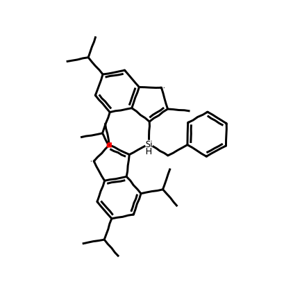 CC1=C([SiH](Cc2ccccc2)C2=C(C)[CH]c3cc(C(C)C)cc(C(C)C)c32)c2c(cc(C(C)C)cc2C(C)C)[CH]1